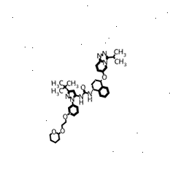 CC(C)c1nnc2ccc(O[C@@H]3CC[C@H](NC(=O)Nc4cc(C(C)(C)C)nn4-c4cccc(OCCOC5CCCCO5)c4)c4ccccc43)cn12